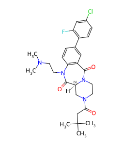 CN(C)CCN1C(=O)[C@@H]2CN(C(=O)CC(C)(C)C)CCN2C(=O)c2cc(-c3ccc(Cl)cc3F)ccc21